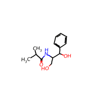 CC(C)C(=O)NC(CO)C(O)c1ccccc1